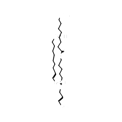 CCCCCCCCC=CCCCCCCCC(=O)O.CCCCCCCCC=CCCCCCCCCOC(=O)CCCCCCCCCCCCCCCCC